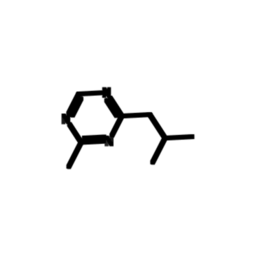 Cc1ncnc(CC(C)C)n1